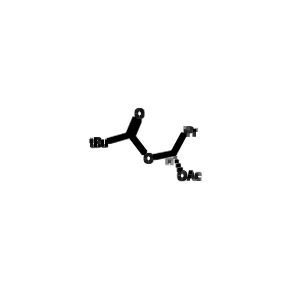 CC(=O)O[C@H](OC(=O)C(C)(C)C)C(C)C